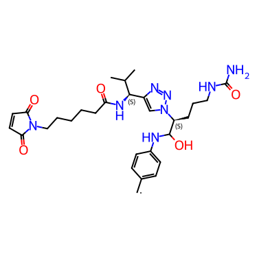 [CH2]c1ccc(NC(O)[C@H](CCCNC(N)=O)n2cc([C@@H](NC(=O)CCCCCN3C(=O)C=CC3=O)C(C)C)nn2)cc1